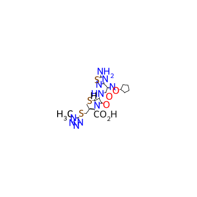 Cn1nnnc1SCC1=C(C(=O)O)N2C(=O)C(NC(=O)/C(=N\OC3CCCC3)c3nsc(N)n3)[C@H]2SC1